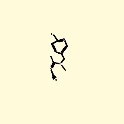 C/C(=N/C#N)N(C)Cc1ccc(Cl)nc1